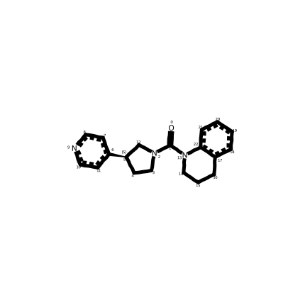 O=C(N1CC[C@@H](c2ccncc2)C1)N1CCCc2ccccc21